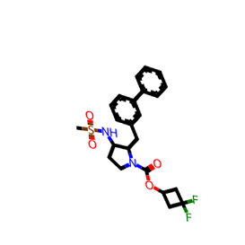 CS(=O)(=O)NC1CCN(C(=O)OC2CC(F)(F)C2)C1Cc1cccc(-c2ccccc2)c1